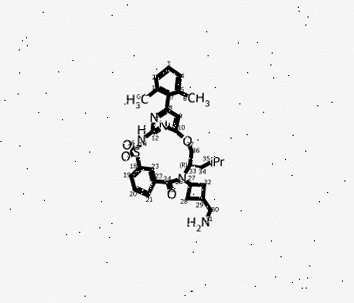 Cc1cccc(C)c1-c1cc2nc(n1)NS(=O)(=O)c1cccc(c1)C(=O)N(C1CC(CN)C1)[C@H](CC(C)C)CO2